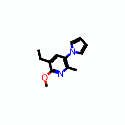 CCc1cc(-n2cccc2)c(C)nc1OC